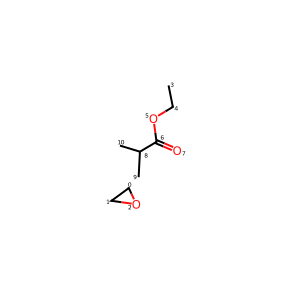 C1CO1.CCOC(=O)C(C)C